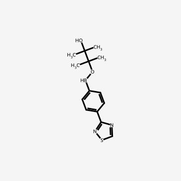 CC(C)(O)C(C)(C)OBc1ccc(-c2ncsn2)cc1